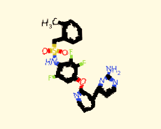 Cc1ccccc1CS(=O)(=O)Nc1c(F)cc(Oc2ncccc2-c2ccnc(N)n2)c(F)c1F